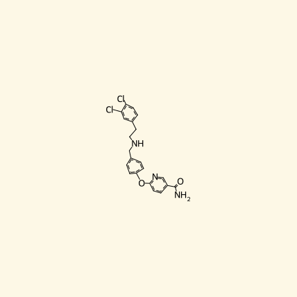 NC(=O)c1ccc(Oc2ccc(CNCCc3ccc(Cl)c(Cl)c3)cc2)nc1